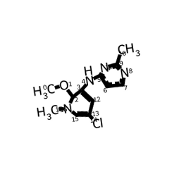 COC1C(Nc2ccnc(C)n2)=CC(Cl)=CN1C